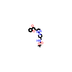 CC(C)(C)OC(=O)NCC1CCN(c2nccc(-c3cc(=O)c4ccccc4o3)n2)CC1